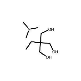 CCC(CO)(CO)CO.CN(C)C